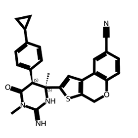 CN1C(=N)N[C@](C)(c2cc3c(s2)COc2ccc(C#N)cc2-3)[C@H](c2ccc(C3CC3)cc2)C1=O